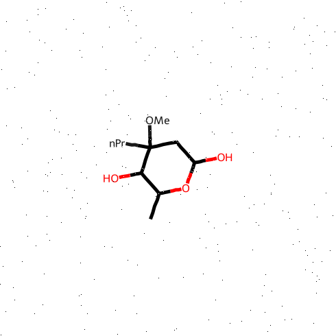 CCCC1(OC)CC(O)OC(C)C1O